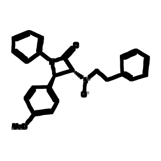 COc1ccc([C@@H]2[C@@H]([S+]([O-])CCc3ccccc3)C(=O)N2c2ccccc2)cc1